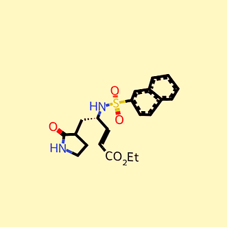 CCOC(=O)/C=C/[C@H](CC1CCNC1=O)NS(=O)(=O)c1ccc2ccccc2c1